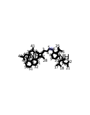 C=C1C(=CC/C=C\c2cccc(NC(C)(CC(C)C)CC(C)C)c2C(=C)C)C(C)=C1c1ccc2c(c1NC(C)(CC(C)C)CC(C)C)C(C)CC=C2